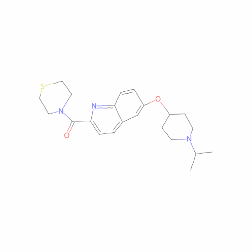 CC(C)N1CCC(Oc2ccc3nc(C(=O)N4CCSCC4)ccc3c2)CC1